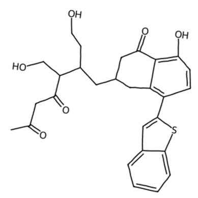 CC(=O)CC(=O)C(CO)C(CCO)CC1CC(=O)c2c(O)ccc(-c3cc4ccccc4s3)c2C1